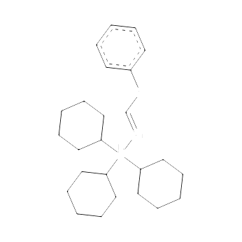 [CH](Sc1ccccc1)=[Ru][PH](C1CCCCC1)(C1CCCCC1)C1CCCCC1